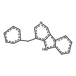 c1ccc(Cc2cncc3c2[nH]c2ccccc23)cc1